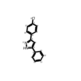 Clc1ccc(-c2cc(-c3ccccc3)[nH]n2)cc1